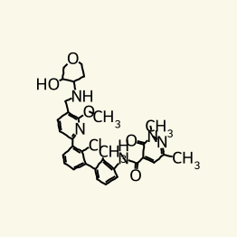 COc1nc(-c2cccc(-c3cccc(NC(=O)c4cc(C)nn(C)c4=O)c3C)c2Cl)ccc1CNC1CCOCC1O